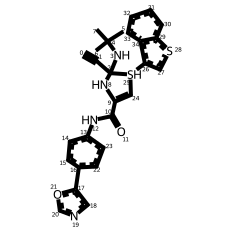 C#CC1(NC(C)(C)C)NC(C(=O)Nc2ccc(-c3cnco3)cc2)=C[SH]1c1csc2ccccc12